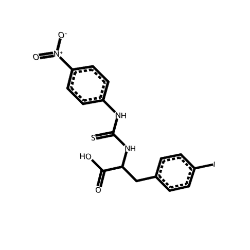 O=C(O)C(Cc1ccc(I)cc1)NC(=S)Nc1ccc([N+](=O)[O-])cc1